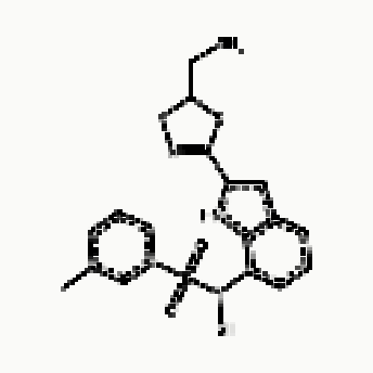 Cc1cccc(S(=O)(=O)N(S)c2cccc3cc(C4=NCC(CN)S4)[nH]c23)c1